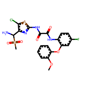 COc1ccccc1Oc1cc(F)ccc1NC(=O)C(=O)Nc1nc(C(N)S(C)(=O)=O)c(Cl)s1